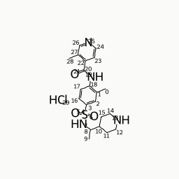 Cc1cc(S(=O)(=O)NC(C)C2CCNCC2)ccc1NC(=O)c1ccncc1C.Cl